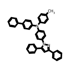 Cc1ccc(N(c2ccc(-c3ccccc3)cc2)c2ccc(-n3nc(-c4ccccc4)cc3-c3ccccc3)cc2)cc1